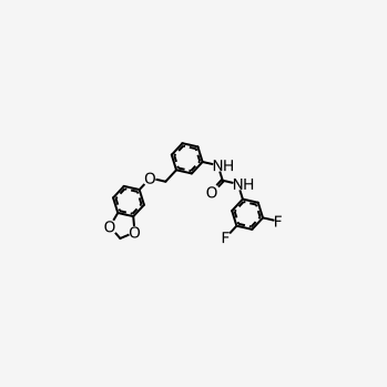 O=C(Nc1cc(F)cc(F)c1)Nc1cccc(COc2ccc3c(c2)OCO3)c1